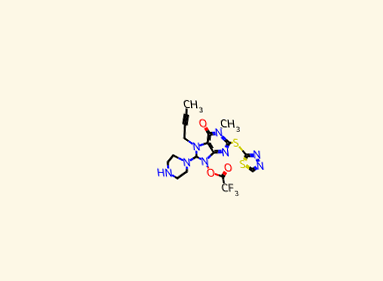 CC#CCN1c2c(nc(Sc3nncs3)n(C)c2=O)N(OC(=O)C(F)(F)F)C1N1CCNCC1